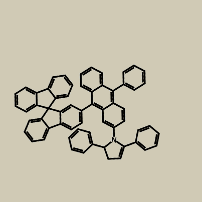 C1=C(c2ccccc2)N(c2ccc3c(-c4ccccc4)c4ccccc4c(-c4ccc5c(c4)C4(c6ccccc6-c6ccccc64)c4ccccc4-5)c3c2)C(c2ccccc2)C1